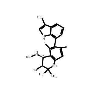 CCCCN[C@H]1c2c(cc(F)c(-c3cccc4c(C)c[nH]c34)c2F)NC(C)(C)C1O